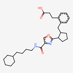 O=C(O)CCc1ccccc1CC1CCCC1c1nc(C(=O)NCCCCC2CCCCC2)co1